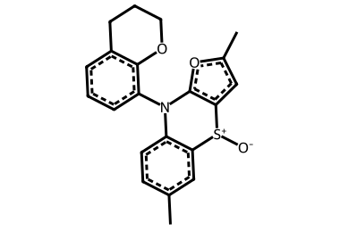 Cc1ccc2c(c1)[S+]([O-])c1cc(C)oc1N2c1cccc2c1OCCC2